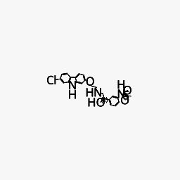 CS(=O)(=O)Nc1cccc([C@@H](O)CNCCOc2ccc3c(c2)[nH]c2cc(Cl)ccc23)c1